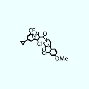 COC1=CC(Cl)C(N2CCN(C(=O)c3nn4c(C(F)(F)F)cc(C5CC5)cc4c3Cl)CC2=O)C=C1